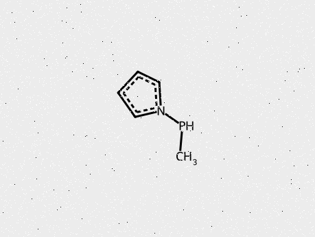 CPn1cccc1